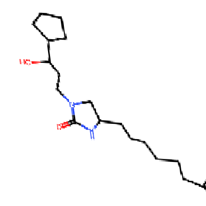 O=C(O)CCCCCCC1CN(CCC(O)C2CCCC2)C(=O)N1